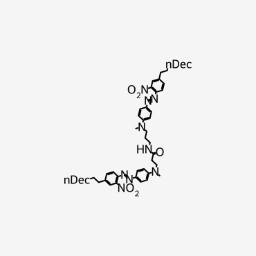 CCCCCCCCCCCCc1ccc(N=Nc2ccc(N(C)CCCNC(=O)CCN(C)c3ccc(N=Nc4ccc(CCCCCCCCCCCC)cc4[N+](=O)[O-])cc3)cc2)c([N+](=O)[O-])c1